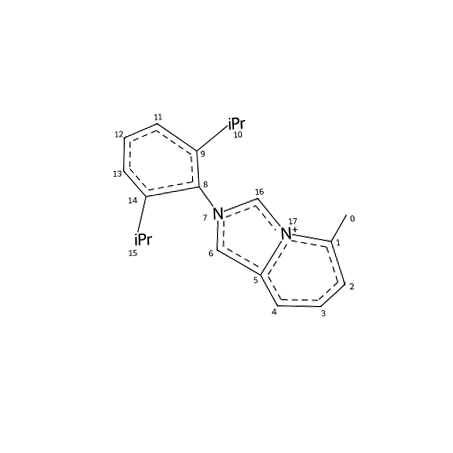 Cc1cccc2cn(-c3c(C(C)C)cccc3C(C)C)c[n+]12